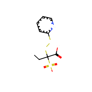 CCC(SSc1ccccn1)(C(=O)O)S(=O)(=O)O